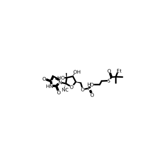 CCC(C)(C)C(=O)SCCO[PH](=O)OC[C@H]1O[C@@](C#N)(n2ccc(=O)[nH]c2=O)[C@](C)(O)[C@@H]1O